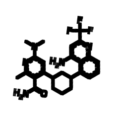 Cc1nc(N(C)C)cc(C2CCCC(c3cccc4nc(C(F)(F)F)cc(N)c34)C2)c1C(N)=O